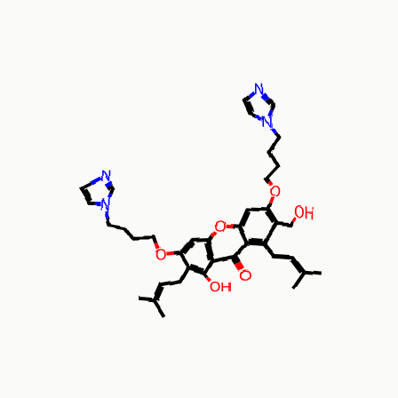 CC(C)=CCc1c(OCCCCn2ccnc2)cc2oc3cc(OCCCCn4ccnc4)c(CO)c(CC=C(C)C)c3c(=O)c2c1O